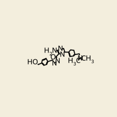 CN(C)CC1=CC=C(c2cnc(N)c(-c3nnc(-c4ccc(CO)cc4)o3)n2)CC1